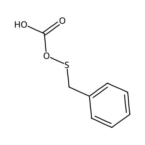 O=C(O)OSCc1ccccc1